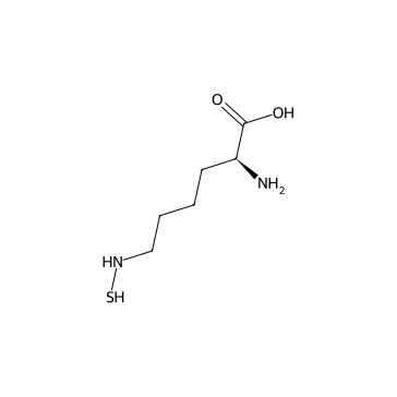 N[C@@H](CCCCNS)C(=O)O